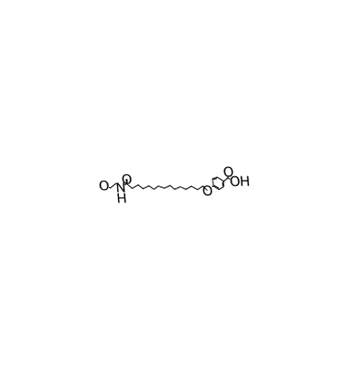 COCCNC(=O)CCCCCCCCCCCCCCOc1ccc(C(=O)O)cc1